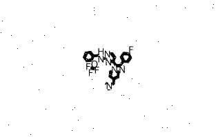 CN(C)Cc1ccn2c(-c3ccnc(NCc4ccccc4OC(F)(F)F)n3)c(-c3ccc(F)cc3)nc2c1